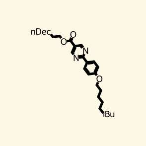 CCCCCCCCCCCCOC(=O)c1cnc(-c2ccc(OCCCCCC(C)CC)cc2)nc1